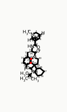 CN1C[C@@H]2CC[C@H]1C(C(=O)N[C@H](Cc1ccc(F)cc1)C(=O)N1CCC(C(=O)NC(C)(C)C)(C3CCCCC3)CC1)N2